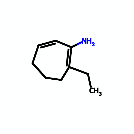 CCC1=C(N)C=CCCC1